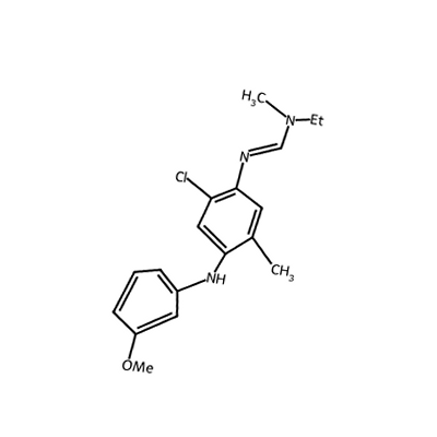 CCN(C)C=Nc1cc(C)c(Nc2cccc(OC)c2)cc1Cl